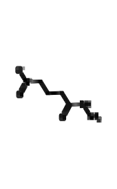 NNC(=O)CCC[N+](=O)[O-]